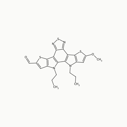 CCCn1c2cc(C=O)sc2c2c3nsnc3c3c4sc(OC)cc4n(CCC)c3c21